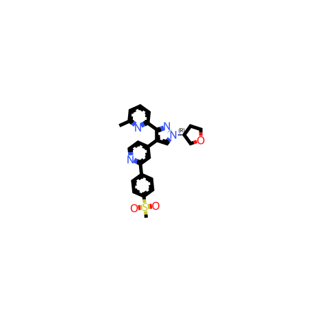 Cc1cccc(-c2nn([C@@H]3CCOC3)cc2-c2ccnc(-c3ccc(S(C)(=O)=O)cc3)c2)n1